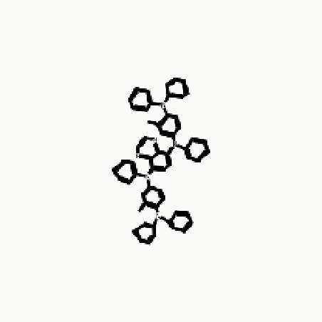 Cc1cc(N(c2ccccc2)c2ccc(N(c3ccccc3)c3ccc(N(c4ccccc4)c4ccccc4)c(C)c3)c3nccnc23)ccc1N(c1ccccc1)c1ccccc1